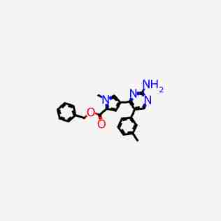 Cc1cccc(-c2cnc(N)nc2-c2cc(C(=O)OCc3ccccc3)n(C)c2)c1